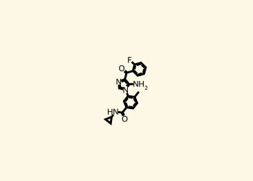 Cc1ccc(C(=O)NC2CC2)cc1-n1cnc(C(=O)c2ccccc2F)c1N